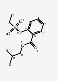 CCS(=O)(=O)Oc1ccccc1C(=O)OCC(C)C